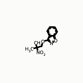 CC(C)(COc1noc2ccccc12)[N+](=O)[O-]